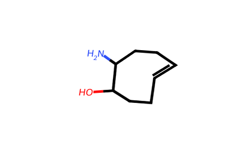 NC1CC/C=C/CCC1O